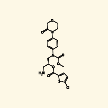 COC(=O)N(C[C@H](CN)OC(=O)c1ccc(Cl)s1)c1ccc(N2CCOCC2=O)cc1